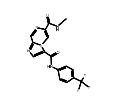 CNC(=O)c1cn2c(C(=O)Nc3ccc(C(F)(F)F)cc3)cnc2cn1